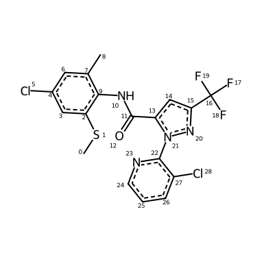 CSc1cc(Cl)cc(C)c1NC(=O)c1cc(C(F)(F)F)nn1-c1ncccc1Cl